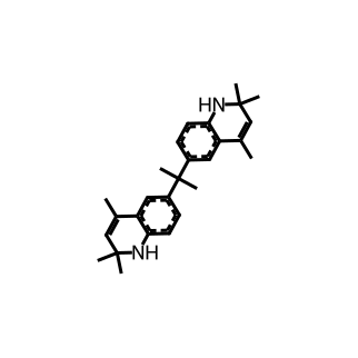 CC1=CC(C)(C)Nc2ccc(C(C)(C)c3ccc4c(c3)C(C)=CC(C)(C)N4)cc21